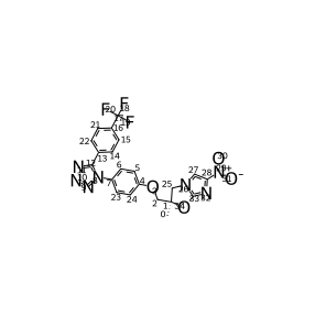 C[C@]1(COc2ccc(-n3nnnc3-c3ccc(C(F)(F)F)cc3)cc2)Cn2cc([N+](=O)[O-])nc2O1